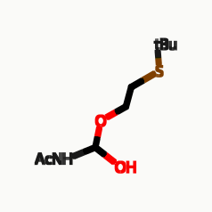 CC(=O)NC(O)OCCSC(C)(C)C